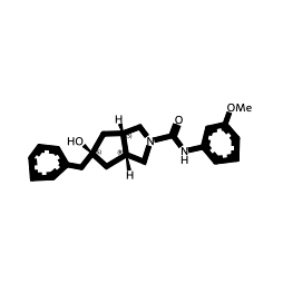 COc1cccc(NC(=O)N2C[C@@H]3C[C@](O)(Cc4ccccc4)C[C@@H]3C2)c1